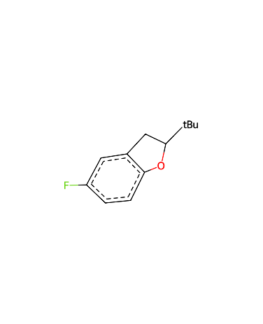 CC(C)(C)C1Cc2cc(F)ccc2O1